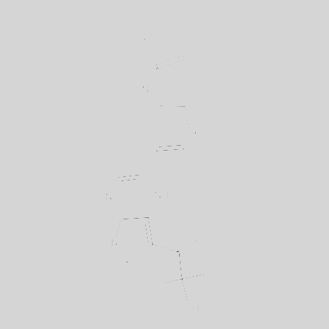 C=CC(=O)Nc1cccc(-c2cnc3ncc(C(=O)C(C)(C)C)c-3[nH]2)c1